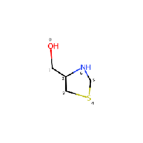 OCC1CSCN1